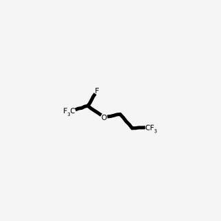 FC(OCCC(F)(F)F)C(F)(F)F